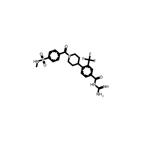 CNS(=O)(=O)c1ccc(C(=O)N2CCC(c3ccc(C(=O)NC(=N)N)cc3C(F)(F)F)CC2)cc1